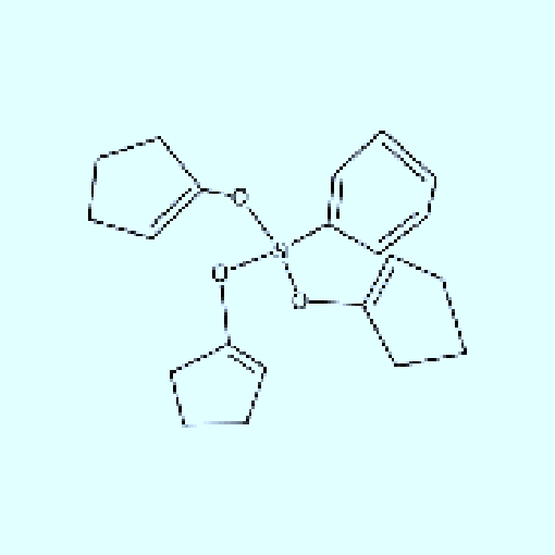 C1=C(O[Si](OC2=CCCC2)(OC2=CCCC2)c2ccccc2)CCC1